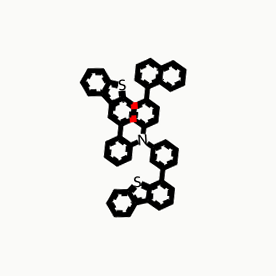 c1cc(-c2cccc3c2sc2ccccc23)cc(N(c2ccc(-c3cccc4ccccc34)cc2)c2ccccc2-c2ccc3sc4ccccc4c3c2)c1